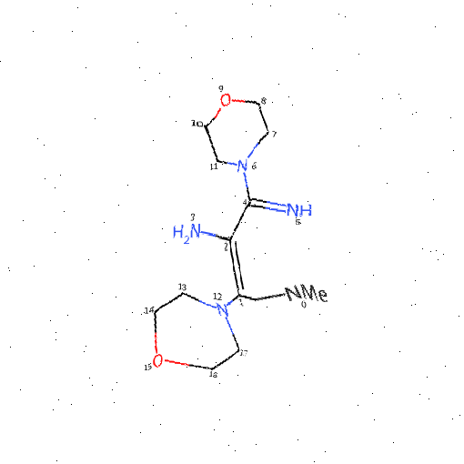 CN/C(=C(/N)C(=N)N1CCOCC1)N1CCOCC1